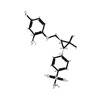 CC1(C)[C@H](COc2ccc(F)cc2C(F)(F)F)[C@H]1c1ccc(S(N)(=O)=O)cc1